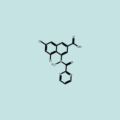 CN(C(=O)c1ncccn1)c1cc(C(=O)O)cc2cc(Cl)cc(Cl)c12